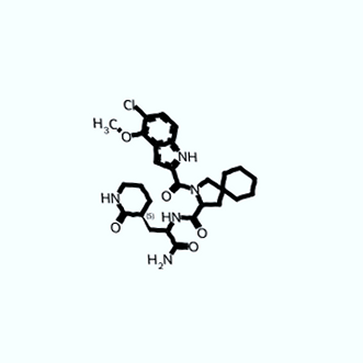 COc1c(Cl)ccc2[nH]c(C(=O)N3CC4(CCCCC4)CC3C(=O)NC(C[C@@H]3CCCNC3=O)C(N)=O)cc12